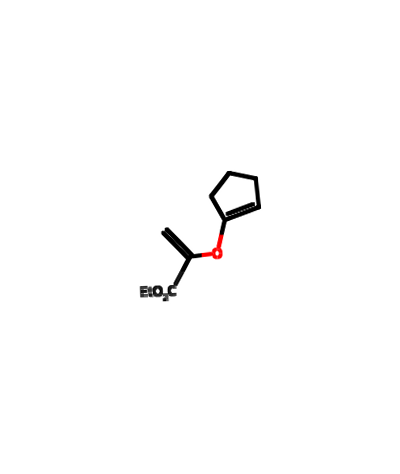 C=C(OC1=CCCC1)C(=O)OCC